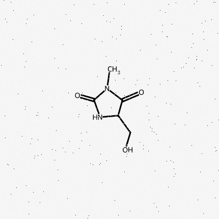 CN1C(=O)NC(CO)C1=O